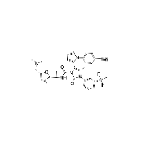 Cc1c(-c2ccnn2-c2ccc(C#N)cc2)n(C(=O)NC(C)(C)c2ncc(CN(C)C)o2)c(=O)n1-c1cccc(C(F)(F)F)c1